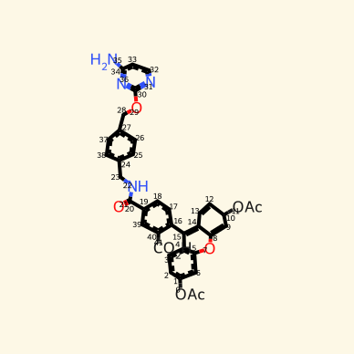 CC(=O)Oc1ccc2c(c1)OC1=CC(OC(C)=O)C=CC1=C2c1ccc(C(=O)NCc2ccc(COc3nccc(N)n3)cc2)cc1C(=O)O